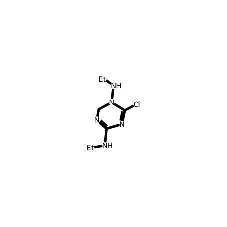 CCNC1=NCN(NCC)C(Cl)=N1